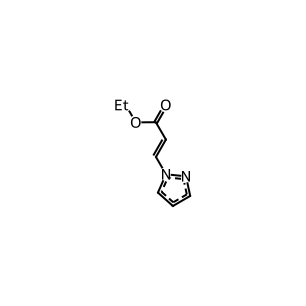 CCOC(=O)C=Cn1cccn1